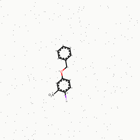 O=[N+]([O-])c1cc(OCc2ccccc2)ccc1I